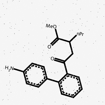 CCCC(CC(=O)c1ccccc1-c1ccc(N)cc1)C(=O)OC